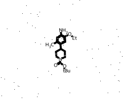 CCOc1cc(C2CCN(C(=O)OC(C)(C)C)CC2)c(C)cc1N